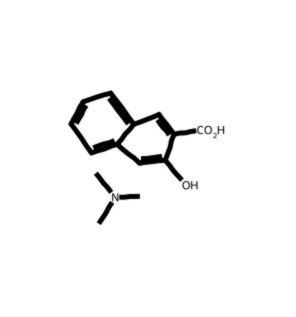 CN(C)C.O=C(O)c1cc2ccccc2cc1O